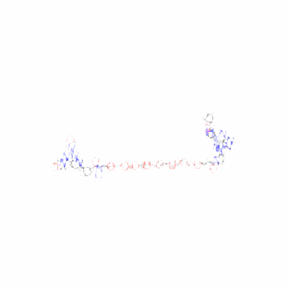 C[C@@H]1COCCN1c1nc(N2CCOC[C@H]2C)c2ccc(-c3cccc(C(=O)NCCOCCOCCOCCOCCOCCOCCOCCOC/C=C/C(=O)N4CCC[C@@H](n5nc(-c6ccc(Oc7ccccc7)cc6)c6c(N)ncnc65)C4)c3)nc2n1